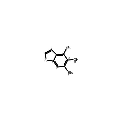 CC(C)(C)c1cc2sccc2c(C(C)(C)C)c1O